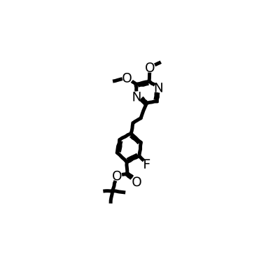 COc1ncc(CCc2ccc(C(=O)OC(C)(C)C)c(F)c2)nc1OC